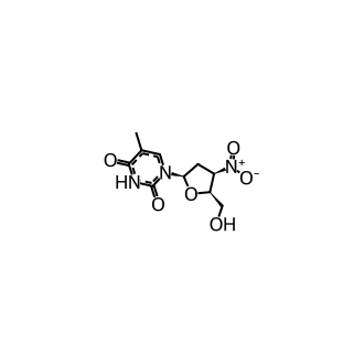 Cc1cn([C@H]2C[C@@H]([N+](=O)[O-])[C@@H](CO)O2)c(=O)[nH]c1=O